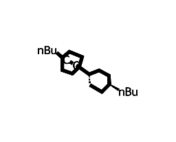 CCCCC12CCC([C@H]3CC[C@H](CCCC)CC3)(CC1)CC2